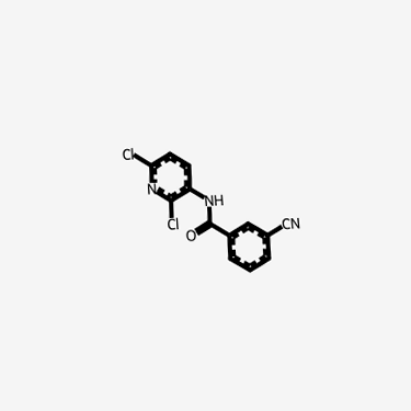 N#Cc1cccc(C(=O)Nc2ccc(Cl)nc2Cl)c1